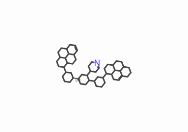 C1=CC2CCC3C(C4CCCC([C@@H]5CCC(C6CCCC(C7CCC8CCC9CCCC%10=CCC7C8C%109)C6)C(C6CC=NCC6)C5)C4)CCC4CCC(C1)C2C43